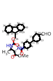 COC(=O)[C@@H](NC(=O)c1ccc(-c2ccc(C=O)cc2)cc1)[C@@H](C)NC(=O)OCC1c2ccccc2-c2ccccc21